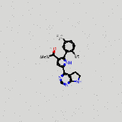 CCc1ccc(C(F)(F)F)cc1-c1[nH]c(-c2ncnc3c2CCN3)cc1C(=O)NC